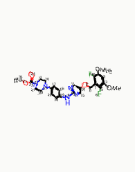 COc1cc(OC)c(F)c(COc2cnc(Nc3ccc(N4CCN(C(=O)OC(C)(C)C)CC4)cc3)nc2)c1F